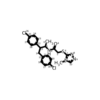 CC(NC(=O)CSc1nncn1C)C(Cc1ccc(Cl)cc1)c1ccc(Cl)cc1